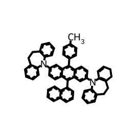 Cc1ccc(-c2c3cc(N4c5ccccc5CCc5ccccc54)ccc3c(-c3cccc4ccccc34)c3cc(N4C5=C(CCC=C5)CCc5ccccc54)ccc23)cc1